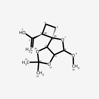 C=C(O)[C@H]1CC[C@@]12OC(OC)C1OC(C)(C)OC12